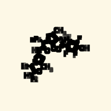 CCC[C@@H](C(=O)N[C@H]1CC(C)N([C@@H](CC)C(=O)NCC)C1)N1CC(C)[C@H](NC(=O)c2c(F)c(F)c(O)c(F)c2F)C1=O